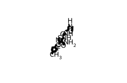 Cc1ccc(COc2nsc(NC(=O)NCC3CNCCO3)c2C(N)=O)c(F)c1